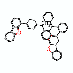 C=C(C1=CC=C(c2cccc3c2oc2ccccc23)CC1)c1ccccc1/C(=C1/C=CC=CC1)c1ccccc1C1=CC=C2Oc3ccccc3C2C1